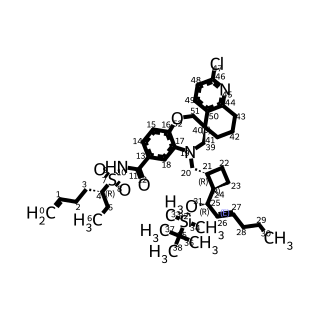 C=CCC[C@@H](CC)S(=O)(=O)NC(=O)c1ccc2c(c1)N(C[C@@H]1CC[C@H]1[C@H](/C=C/CCC)O[Si](C)(C)C(C)(C)C)C[C@@]1(CCCc3nc(Cl)ccc31)CO2